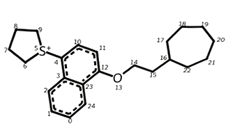 c1ccc2c([S+]3CCCC3)ccc(OCCC3CCCCCC3)c2c1